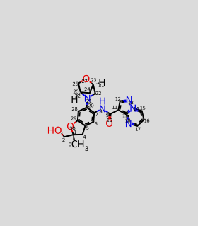 C[C@]1(CO)Cc2cc(NC(=O)c3cnn4cccnc34)c(N3C[C@H]4C[C@@H]3CO4)cc2O1